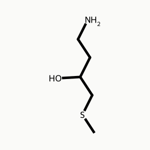 CSCC(O)CCN